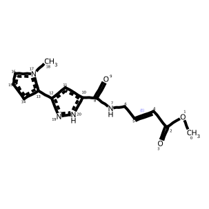 COC(=O)/C=C/CNC(=O)c1cc(-c2cccn2C)n[nH]1